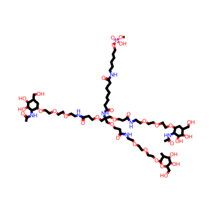 COP(=O)(O)OCCCCCCNC(=O)CCCCCCC(=O)NC(COCCC(=O)NCCOCCOCCOC1CC(CO)C(O)C(O)C1NC(C)=O)(COCCC(=O)NCCOCCOCCOC1CC(CO)C(O)C(O)C1NC(C)=O)COCCC(=O)NCCOCCOCCOC1OC(CO)C(O)C(O)C1C